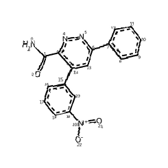 NC(=O)c1nnc(-c2ccccc2)cc1-c1cccc([N+](=O)[O-])c1